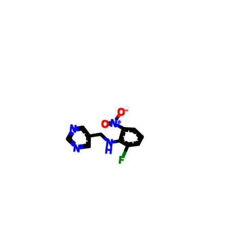 O=[N+]([O-])c1cccc(F)c1NCc1cncnc1